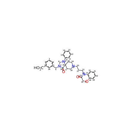 O=C(O)c1cccc(CN2CN(c3ccccc3)C3(CCN(CCCN4C(=O)COc5ccccc54)CC3)C2=O)c1